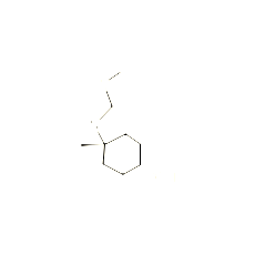 CSCN[C@]1(C)CC[C@H](O)CC1